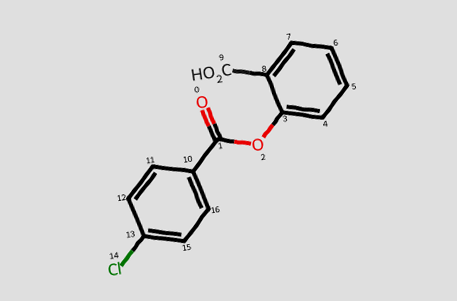 O=C(Oc1ccccc1C(=O)O)c1ccc(Cl)cc1